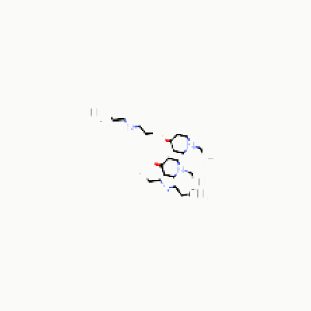 CCCNCCC.CCCNCCC.CCN1CCC(=O)CC1.CCN1CCC(=O)CC1